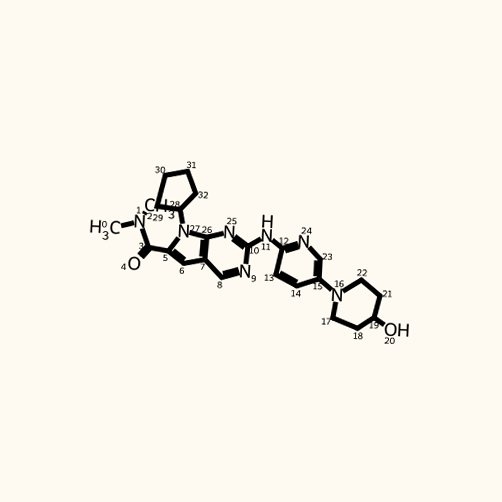 CN(C)C(=O)c1cc2cnc(Nc3ccc(N4CCC(O)CC4)cn3)nc2n1C1CCCC1